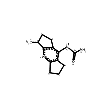 CC1CCc2c1nc1c(c2NC(N)=O)CCC1